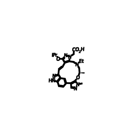 CCN1Cc2c(c(OC(C)C)nn2CC(=O)O)/C=C/c2n[nH]c3ccc(cc23)-c2cnn(C)c2O[C@@H](C)C1